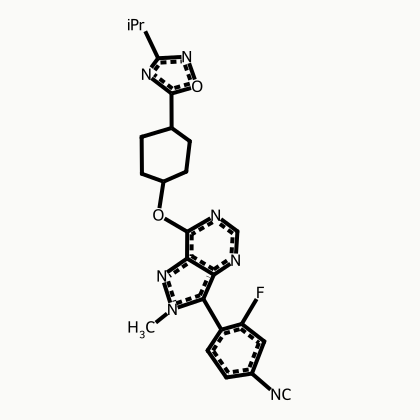 [C-]#[N+]c1ccc(-c2c3ncnc(OC4CCC(c5nc(C(C)C)no5)CC4)c3nn2C)c(F)c1